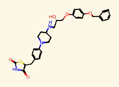 O=C1NC(=O)C(Cc2ccc(N3CCC(NC[C@H](O)COc4ccc(OCc5ccccc5)cc4)CC3)cc2)S1